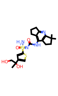 CC1(C)CCc2c1nc1c(c2NC(=O)N=[S@@](N)(=O)c2cc(C(C)(O)CO)cs2)CCC1